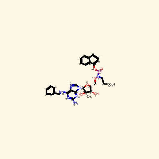 C[C@@]1(O)[C@H](O)[C@@H](CON(CCC(=O)O)[PH](=O)Oc2cccc3ccccc23)O[C@H]1n1cnc2c(NCc3ccccc3)nc(N)nc21